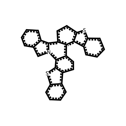 c1ccc2c(c1)cn1c2c2ccc3sc4ccccc4c3c2c2ccc3c4ccccc4sc3c21